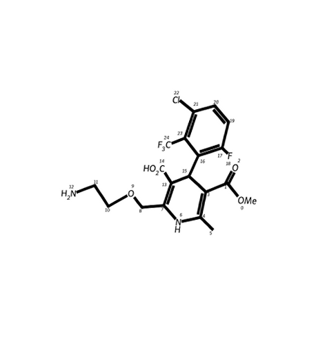 COC(=O)C1=C(C)NC(COCCN)=C(C(=O)O)C1c1c(F)ccc(Cl)c1C(F)(F)F